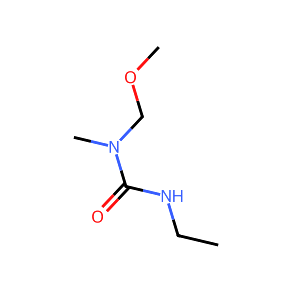 CCNC(=O)N(C)COC